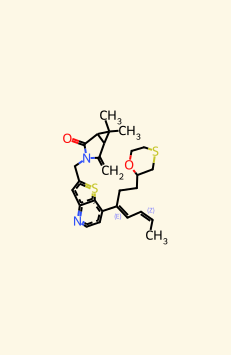 C=C1C2C(C(=O)N1Cc1cc3nccc(/C(=C/C=C\C)CCC4CSCCO4)c3s1)C2(C)C